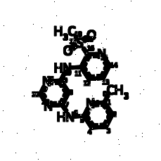 Cc1cccc(Nc2cc(Nc3cccnc3S(C)(=O)=O)ncn2)n1